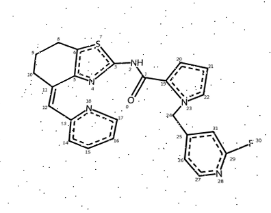 O=C(Nc1nc2c(s1)CCC/C2=C/c1ccccn1)c1cccn1Cc1ccnc(F)c1